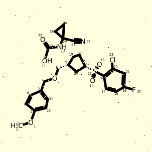 COc1ccc(COC[C@@H]2CC[C@H](S(=O)(=O)c3ccc(F)cc3Cl)C2)cc1.N#CC1(NC(=O)O)CC1